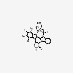 [2H]c1c([2H])c([2H])c2c(c1[2H])c1c3c(c4c5ccccc5n5c4c1n2[C@@]1(C)O[C@@H]5C[C@]1(O)CO)C(=O)NC3